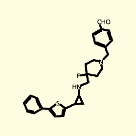 O=Cc1ccc(CN2CCC(F)(CNC3CC3c3ccc(-c4ccccc4)s3)CC2)cc1